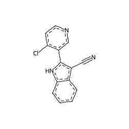 N#Cc1c(-c2cnccc2Cl)[nH]c2ccccc12